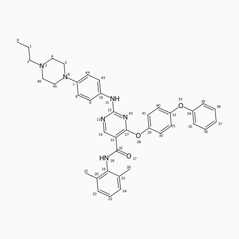 CCCN1CCN(c2ccc(Nc3ncc(C(=O)Nc4c(C)cccc4C)c(Oc4ccc(Oc5ccccc5)cc4)n3)cc2)CC1